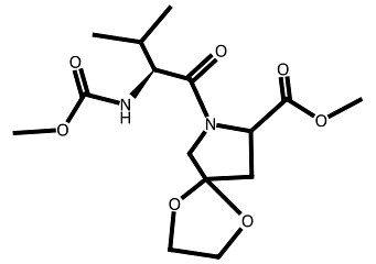 COC(=O)N[C@H](C(=O)N1CC2(CC1C(=O)OC)OCCO2)C(C)C